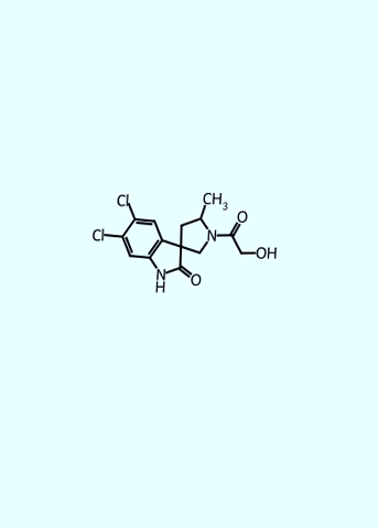 CC1CC2(CN1C(=O)CO)C(=O)Nc1cc(Cl)c(Cl)cc12